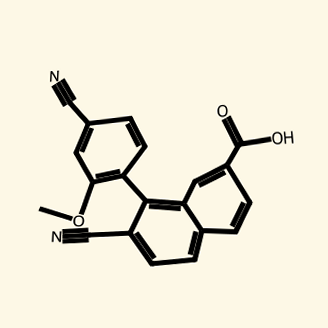 COc1cc(C#N)ccc1-c1c(C#N)ccc2ccc(C(=O)O)cc12